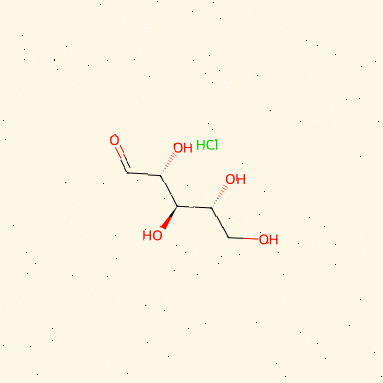 Cl.O=C[C@H](O)[C@H](O)[C@H](O)CO